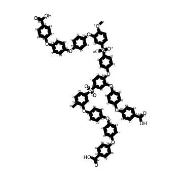 COc1ccc(S(=O)(=O)c2ccc(Oc3ccc(S(=O)(=O)c4ccc(C)c(Oc5ccc(Oc6ccc(Oc7ccc(C(=O)O)cc7)cc6)cc5)c4)cc3Oc3ccc(Oc4ccc(C(=O)O)cc4)cc3)cc2)cc1Oc1ccc(Oc2ccc(Oc3ccc(C(=O)O)cc3)cc2)cc1